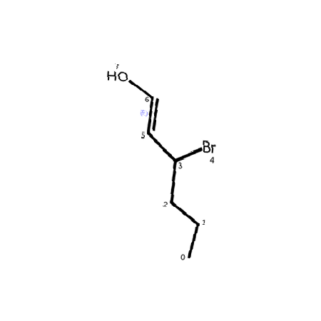 CCCC(Br)/C=C/O